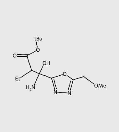 CCC(C(=O)OC(C)(C)C)C(N)(O)c1nnc(COC)o1